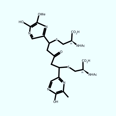 COc1nc(C(CC(=O)CC(SC[C@H](NC(C)=O)C(=O)O)c2cnc(O)c(C)n2)SC[C@H](NC(C)=O)C(=O)O)cnc1O